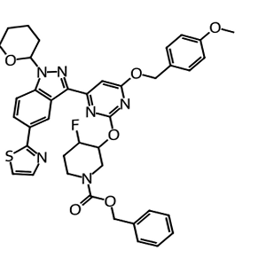 COc1ccc(COc2cc(-c3nn(C4CCCCO4)c4ccc(-c5nccs5)cc34)nc(OC3CN(C(=O)OCc4ccccc4)CCC3F)n2)cc1